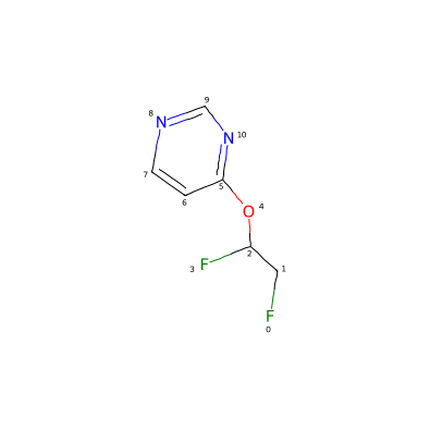 FCC(F)Oc1ccncn1